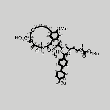 CCCCc1ccc(-c2ccc(C(=O)N[C@@H](CCCCNC(=O)OC(C)(C)C)C(=O)N(C)[C@@H]3C(=O)N[C@@H](C)C(=O)N[C@H](C(=O)O)COCCCCc4cc3ccc4OC)cc2)cc1